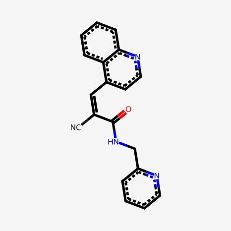 N#CC(=Cc1ccnc2ccccc12)C(=O)NCc1ccccn1